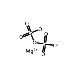 O=S(=O)([O-])OS(=O)(=O)[O-].[Mg+2]